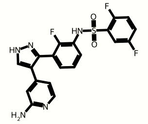 Nc1cc(-c2c[nH]nc2-c2cccc(NS(=O)(=O)c3cc(F)ccc3F)c2F)ccn1